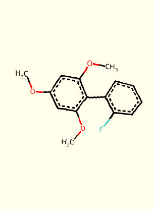 COc1cc(OC)c(-c2ccc[c]c2F)c(OC)c1